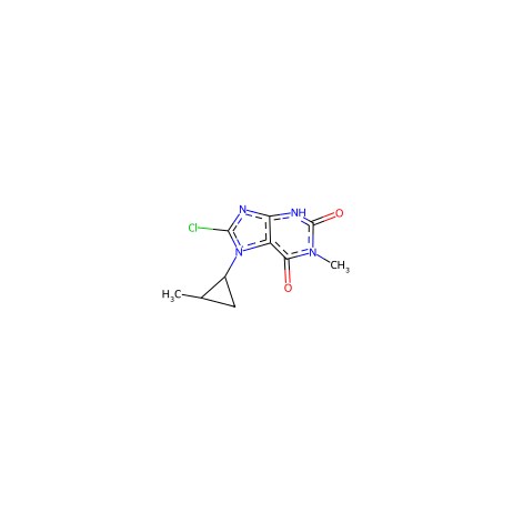 CC1CC1n1c(Cl)nc2[nH]c(=O)n(C)c(=O)c21